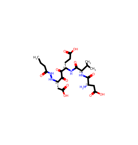 CCCC(=O)NN[C@@H](CC(=O)O)C(=O)C(=O)[C@H](CCC(=O)O)NC(=O)[C@@H](NC(=O)[C@@H](N)CC(=O)O)C(C)C